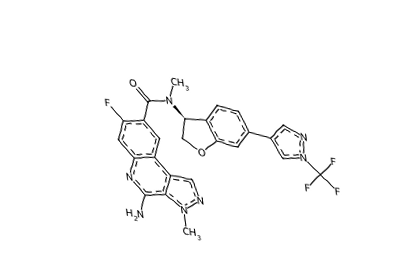 CN(C(=O)c1cc2c(cc1F)nc(N)c1c2cnn1C)[C@@H]1COc2cc(-c3cnn(C(F)(F)F)c3)ccc21